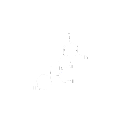 N=C/C(=C1/Nc2cc(F)cc(Br)c2N1)C1(C(=O)O)CCNCC1